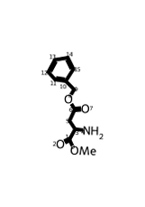 COC(=O)C(N)CC(=O)OCc1ccccc1